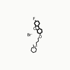 C[N+]1(CCCCOc2ccc3c(c2)oc2cc(F)ccc23)CCCCC1.[Br-]